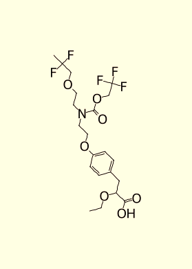 CCOC(Cc1ccc(OCCN(CCOCC(C)(F)F)C(=O)OCC(F)(F)F)cc1)C(=O)O